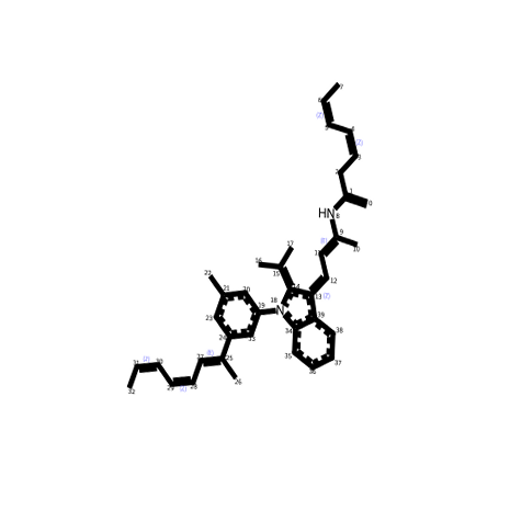 C=C(C/C=C\C=C/C)N/C(C)=C/C=c1\c(=C(C)C)n(-c2cc(C)cc(/C(C)=C/C=C\C=C/C)c2)c2ccccc12